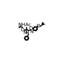 CC(=O)N[C@@H](C)COc1nn(Cc2ccccc2)c(-c2nc3ccc(OCC4CC4)cc3o2)c1C